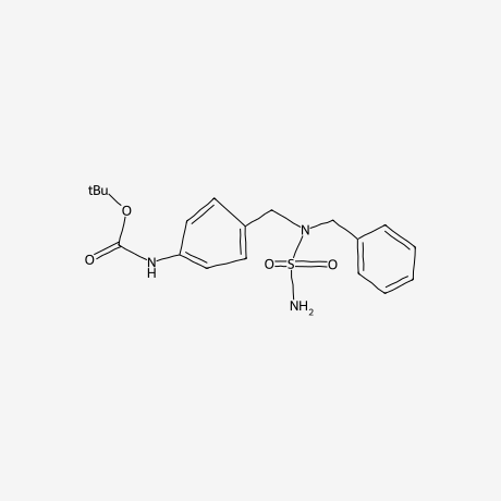 CC(C)(C)OC(=O)Nc1ccc(CN(Cc2ccccc2)S(N)(=O)=O)cc1